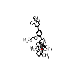 COCOc1cc(-c2ccn(C)c(=O)c2)ccc1-c1ccc(N(C)[C@H]2C[C@]3(C)CC[C@](C)(C2C(C)(C)C)N3C(=O)O)nn1